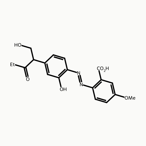 CCC(=O)C(CO)c1ccc(N=Nc2ccc(OC)cc2C(=O)O)c(O)c1